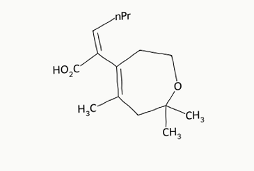 CCC/C=C(/C(=O)O)C1=C(C)CC(C)(C)OCC1